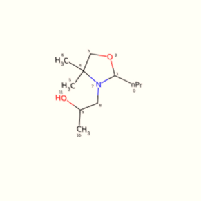 CCCC1OCC(C)(C)N1CC(C)O